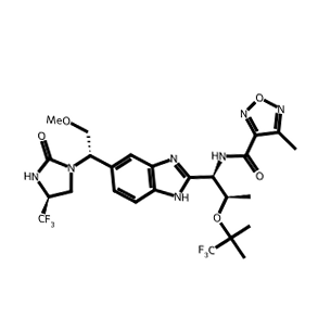 COC[C@H](c1ccc2[nH]c([C@@H](NC(=O)c3nonc3C)[C@@H](C)OC(C)(C)C(F)(F)F)nc2c1)N1C[C@@H](C(F)(F)F)NC1=O